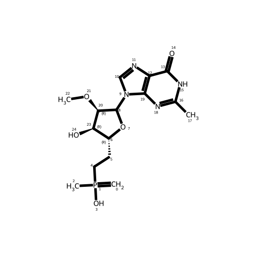 C=P(C)(O)CC[C@H]1OC(n2cnc3c(=O)[nH]c(C)nc32)[C@H](OC)[C@@H]1O